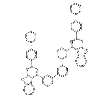 c1ccc(-c2ccc(-c3nc(-c4cccc(-c5cccc(-c6cccc(-c7nc(-c8ccc(-c9ccccc9)cc8)nc8sc9ccccc9c78)c6)c5)c4)c4c(n3)oc3ccccc34)cc2)cc1